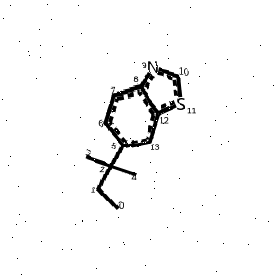 CCC(C)(C)c1ccc2ncsc2c1